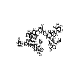 C=CC(=O)N1CCN(c2nc(OC[C@@H]3CC(c4ccc(C(F)(F)F)c(N5CCc6c(nc(OC[C@@H]7CCCN7C)nc6N6CCN(C(=O)C=C)C(CC#N)C6)C5)c4F)CN3C)nc3c2CCN(c2cccc(F)c2C)C3)CC1CC#N